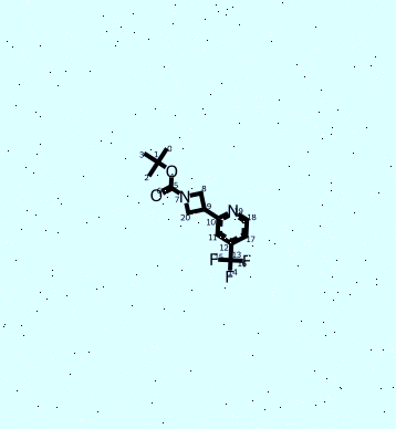 CC(C)(C)OC(=O)N1CC(c2cc(C(F)(F)F)ccn2)C1